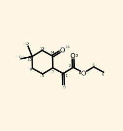 C=C(C(=O)OCC)C1CCC(C)(C)CC1=O